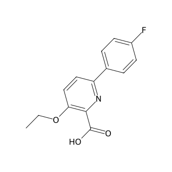 CCOc1ccc(-c2ccc(F)cc2)nc1C(=O)O